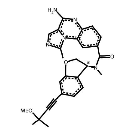 COC(C)(C)C#Cc1ccc2c(c1)OC[C@H]2N(C)C(=O)c1ccc2nc(N)c3cnc(C)n3c2c1